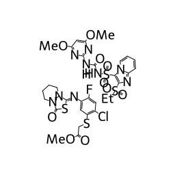 CCS(=O)(=O)c1nc2ccccn2c1S(=O)(=O)NC(=O)Nc1nc(OC)cc(OC)n1.COC(=O)CSc1cc(/N=c2\sc(=O)n3n2CCCC3)c(F)cc1Cl